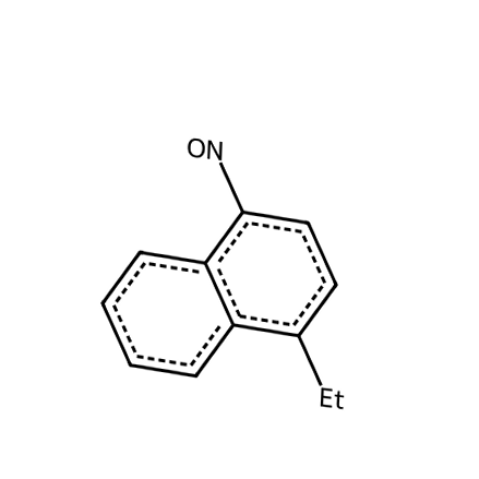 CCc1ccc(N=O)c2ccccc12